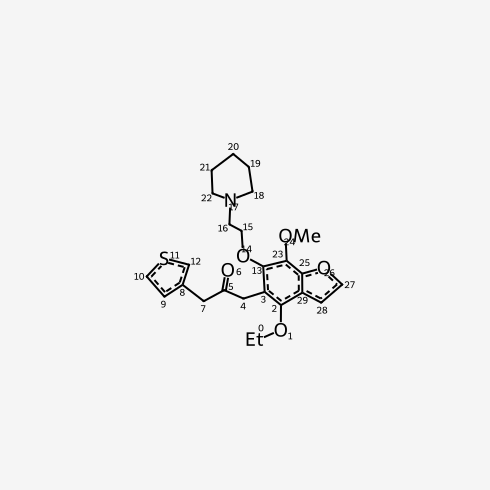 CCOc1c(CC(=O)Cc2ccsc2)c(OCCN2CCCCC2)c(OC)c2occc12